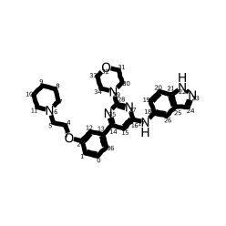 c1cc(OCCN2CCCCC2)cc(-c2cc(Nc3ccc4[nH]ncc4c3)nc(N3CCOCC3)n2)c1